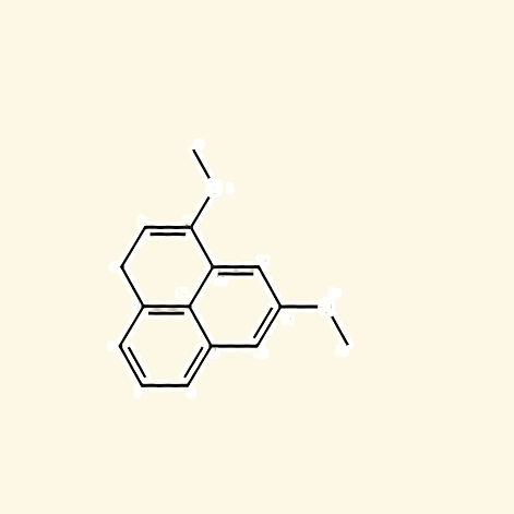 COC1=CCc2cccc3cc(OC)cc1c23